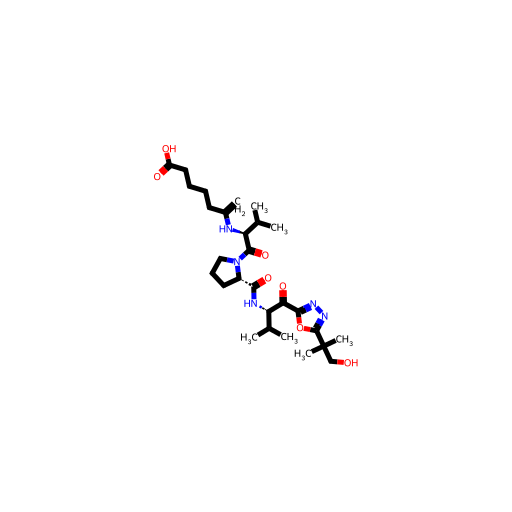 C=C(CCCCC(=O)O)N[C@H](C(=O)N1CCC[C@H]1C(=O)N[C@H](C(=O)c1nnc(C(C)(C)CO)o1)C(C)C)C(C)C